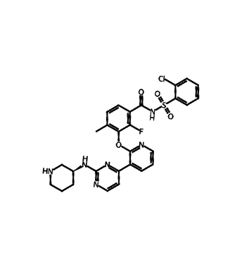 Cc1ccc(C(=O)NS(=O)(=O)c2ccccc2Cl)c(F)c1Oc1ncccc1-c1ccnc(N[C@H]2CCCNC2)n1